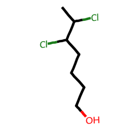 CC(Cl)C(Cl)CCCCO